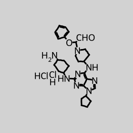 Cl.Cl.NC1CCC(Nc2nc(NC3CCN(C(C=O)Oc4ccccc4)CC3)c3ncn(C4CCCC4)c3n2)CC1